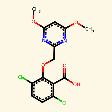 COc1cc(OC)nc(COc2c(Cl)ccc(Cl)c2C(=O)O)n1